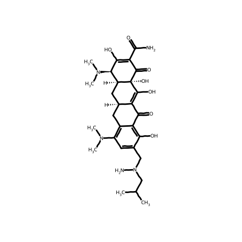 CC(C)CN(N)Cc1cc(N(C)C)c2c(c1O)C(=O)C1=C(O)[C@]3(O)C(=O)C(C(N)=O)=C(O)[C@H](N(C)C)[C@@H]3C[C@@H]1C2